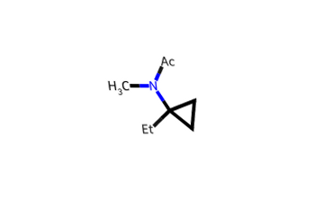 CCC1(N(C)C(C)=O)CC1